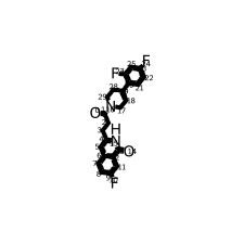 O=C(CCc1cc2ccc(F)cc2c(=O)[nH]1)N1CC=C(c2ccc(F)cc2F)CC1